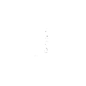 CCc1ccc(-c2ccc(S(=O)(=O)N3CCOCC3)cc2)cc1